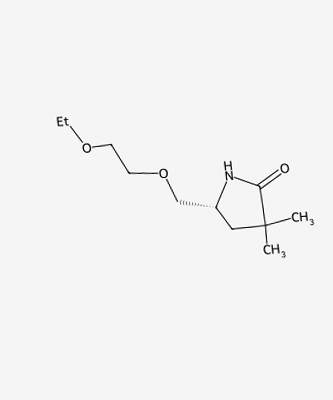 CCOCCOC[C@H]1CC(C)(C)C(=O)N1